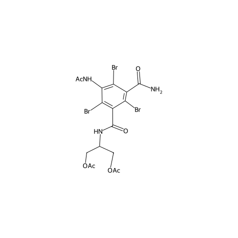 CC(=O)Nc1c(Br)c(C(N)=O)c(Br)c(C(=O)NC(COC(C)=O)COC(C)=O)c1Br